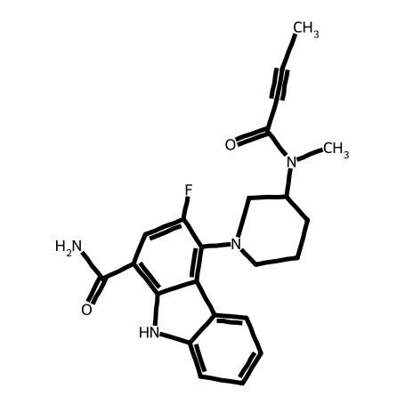 CC#CC(=O)N(C)C1CCCN(c2c(F)cc(C(N)=O)c3[nH]c4ccccc4c23)C1